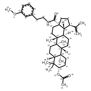 C=C(C)[C@@H]1CC[C@]2(C(=O)NCCc3cccc(OC)c3)CC[C@]3(C)[C@H](CC[C@@H]4[C@@]5(C)CC[C@H](OC(C)=O)C(C)(C)[C@@H]5CC[C@]43C)[C@@H]12